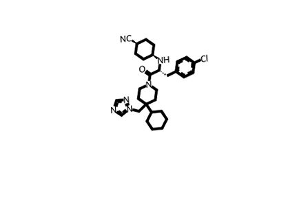 N#C[C@H]1CC[C@@H](N[C@H](Cc2ccc(Cl)cc2)C(=O)N2CCC(Cn3cncn3)(C3CCCCC3)CC2)CC1